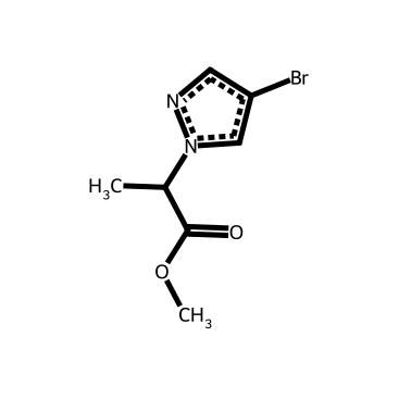 COC(=O)C(C)n1cc(Br)cn1